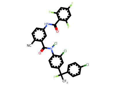 N#Cc1ccc(NC(=O)c2c(F)cc(F)cc2F)cc1C(=O)N(Cl)c1ccc(C(F)(c2ccc(Cl)cc2)C(F)(F)F)cc1Cl